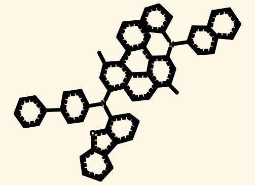 Cc1cc(N(c2ccccc2)c2ccc3ccccc3c2)c2c3ccccc3c3c(C)cc(N(c4ccc(-c5ccccc5)cc4)c4cccc5c4oc4ccccc45)c4ccc1c2c43